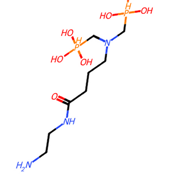 NCCNC(=O)CCCN(C[PH](O)(O)O)C[PH](O)(O)O